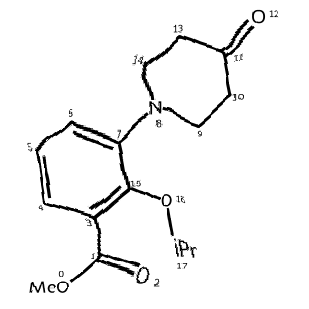 COC(=O)c1cccc(N2CCC(=O)CC2)c1OC(C)C